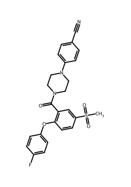 CS(=O)(=O)c1ccc(Oc2ccc(F)cc2)c(C(=O)N2CCN(c3ccc(C#N)cc3)CC2)c1